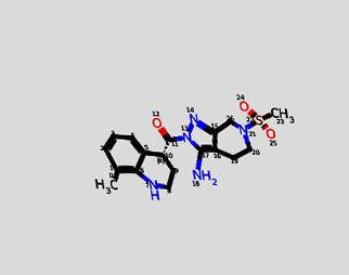 Cc1cccc2c1NCC[C@H]2C(=O)n1nc2c(c1N)CCN(S(C)(=O)=O)C2